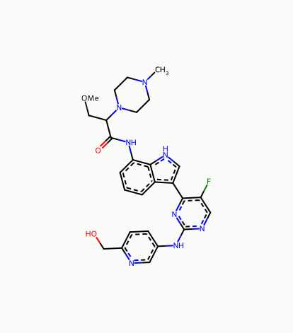 COCC(C(=O)Nc1cccc2c(-c3nc(Nc4ccc(CO)nc4)ncc3F)c[nH]c12)N1CCN(C)CC1